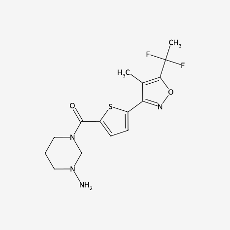 Cc1c(-c2ccc(C(=O)N3CCCN(N)C3)s2)noc1C(C)(F)F